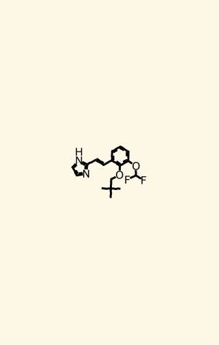 CC(C)(C)COc1c(/C=C/c2ncc[nH]2)cccc1OC(F)F